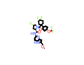 COCc1cc2nc(NC(=O)[C@H]3C[C@@H](F)CN3C(=O)C3(c4ccc(OC(F)F)cc4)CCC(F)(F)CC3)ccc2[nH]1